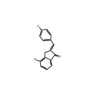 O=C1/C(=C/c2ccc(F)cc2)Cc2c(F)cccc21